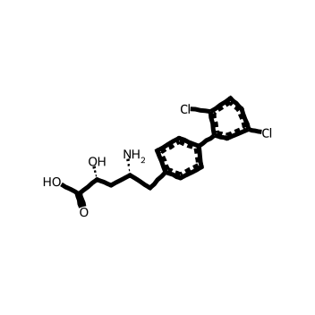 N[C@H](Cc1ccc(-c2cc(Cl)ccc2Cl)cc1)C[C@@H](O)C(=O)O